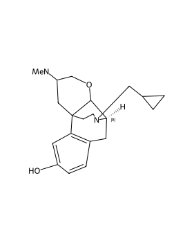 CNC1COC2[C@H]3Cc4ccc(O)cc4C2(CCN3CC2CC2)C1